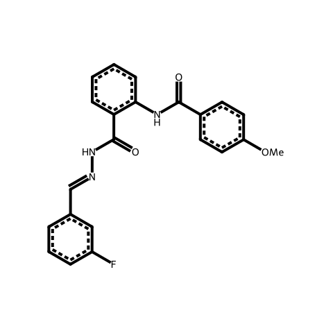 COc1ccc(C(=O)Nc2ccccc2C(=O)NN=Cc2cccc(F)c2)cc1